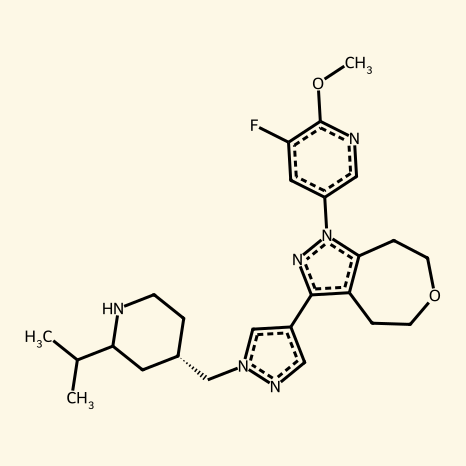 COc1ncc(-n2nc(-c3cnn(C[C@H]4CCNC(C(C)C)C4)c3)c3c2CCOCC3)cc1F